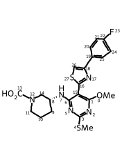 COc1nc(SC)nc(N[C@@H]2CCCN(C(=O)O)C2)c1-c1nc(-c2ccc(F)cc2)cs1